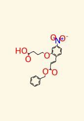 O=C(O)CCCOc1cc([N+](=O)[O-])ccc1C=CC(=O)OCc1ccccc1